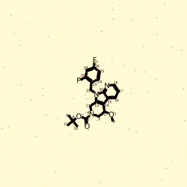 COC1CN(C(=O)OC(C)(C)C)Cc2c1c1cccnc1n2Cc1ccc(F)cc1F